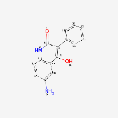 Nc1ccc2[nH]c(=O)c(-c3ccccc3)c(O)c2c1